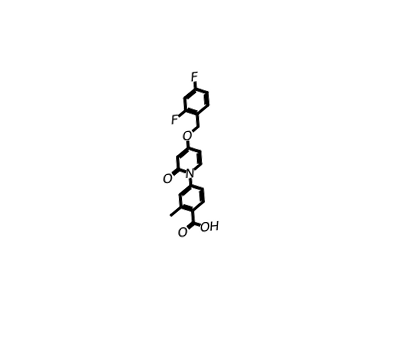 Cc1cc(-n2ccc(OCc3ccc(F)cc3F)cc2=O)ccc1C(=O)O